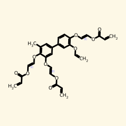 C=COc1cc(-c2cc(C)c(O/C=C/OC(=O)C=C)c(O/C=C/OC(=O)C=C)c2)ccc1O/C=C/OC(=O)C=C